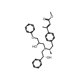 COC(=O)/C=C(\C)c1ccc(C[C@@H](C)N(CC(O)COc2ccccc2)C[C@H](O)c2ccccc2)cc1